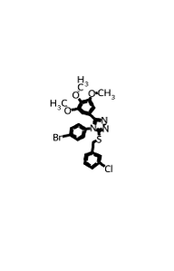 COc1cc(-c2nnc(SCc3cccc(Cl)c3)n2-c2ccc(Br)cc2)cc(OC)c1OC